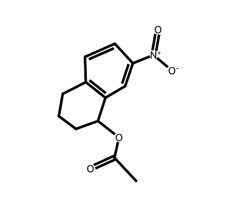 CC(=O)OC1CCCc2ccc([N+](=O)[O-])cc21